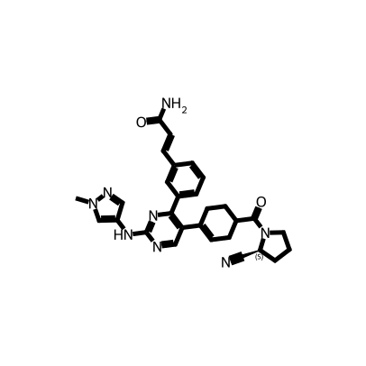 Cn1cc(Nc2ncc(C3=CCC(C(=O)N4CCC[C@H]4C#N)CC3)c(-c3cccc(C=CC(N)=O)c3)n2)cn1